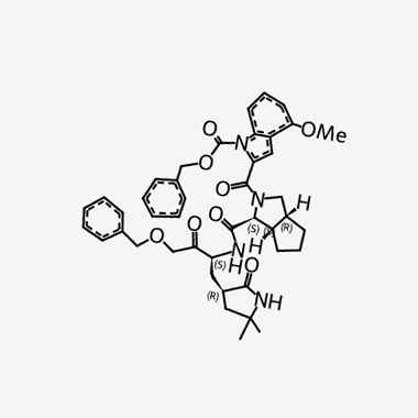 COc1cccc2c1cc(C(=O)N1C[C@@H]3CCC[C@@H]3[C@H]1C(=O)N[C@@H](C[C@@H]1CC(C)(C)NC1=O)C(=O)COCc1ccccc1)n2C(=O)OCc1ccccc1